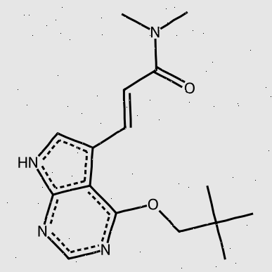 CN(C)C(=O)C=Cc1c[nH]c2ncnc(OCC(C)(C)C)c12